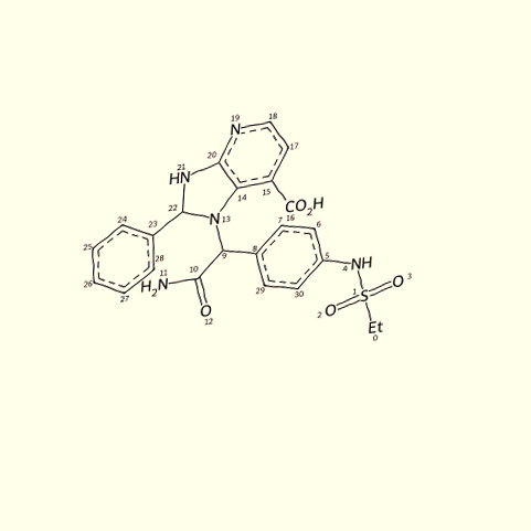 CCS(=O)(=O)Nc1ccc(C(C(N)=O)N2c3c(C(=O)O)ccnc3NC2c2ccccc2)cc1